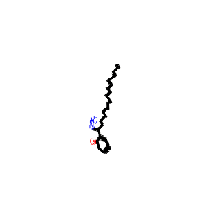 CCCCCCCCCCCCCCCCC(C=[N+]=[N-])C1=CC=CCC1=O